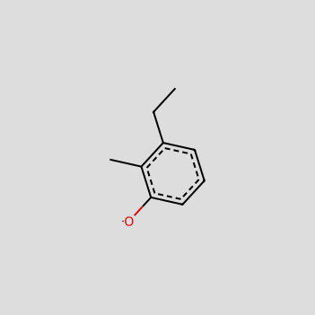 CCc1cccc([O])c1C